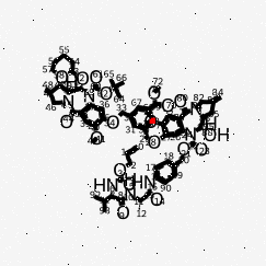 C=CCOC(=O)N[C@H](C(=O)N[C@@H](C)C(=O)Nc1ccc(COC(=O)N2c3cc(OCc4cc(COc5cc6c(cc5OC)C(=O)N5CC(=C)C[C@H]5[C@H](OC5CCCCO5)N6C(=O)OC(C)(C)C)cc(C(=O)OC)c4)c(OC)cc3C(=O)N3CC(=C)C[C@H]3[C@@H]2O)cc1)C(C)C